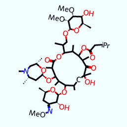 CON=C1C[C@@H](C)O[C@@H](OC2C(C)CC(C)(O)C(=O)C(C)C(OC(=O)CC(C)C)C(C)C(C(C)CO[C@@H]3O[C@H](C)[C@@H](O)[C@@H](OC)[C@H]3OC)OC(=O)C(C)C(O[C@H]3C[C@H](C)N(C)C[C@H](C)O3)C2C)[C@@H]1O